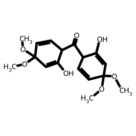 COC1(OC)C=CC(C(=O)C2C=CC(OC)(OC)C=C2O)C(O)=C1